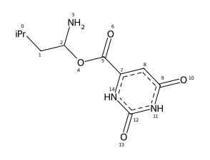 CC(C)CC(N)OC(=O)c1cc(=O)[nH]c(=O)[nH]1